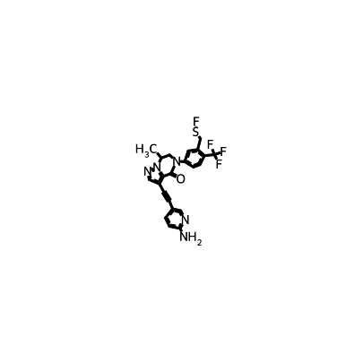 CC1CN(c2ccc(C(F)(F)F)c(CSF)c2)C(=O)c2c(C#Cc3ccc(N)nc3)cnn21